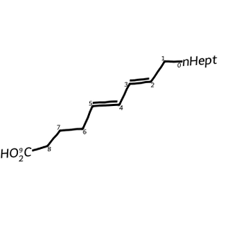 CCCCCCCC/C=C/C=C/CCCC(=O)O